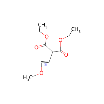 CCOC(=O)C(/C=C/OC)C(=O)OCC